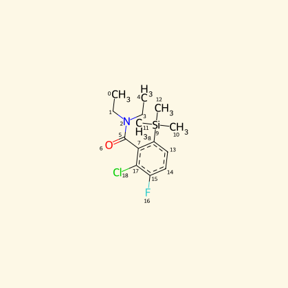 CCN(CC)C(=O)c1c([Si](C)(C)C)ccc(F)c1Cl